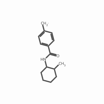 [CH2]c1ccc(C(=O)NC2CCCCC2C)cc1